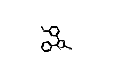 COc1cccc(-c2nc(S)oc2-c2ccccc2)c1